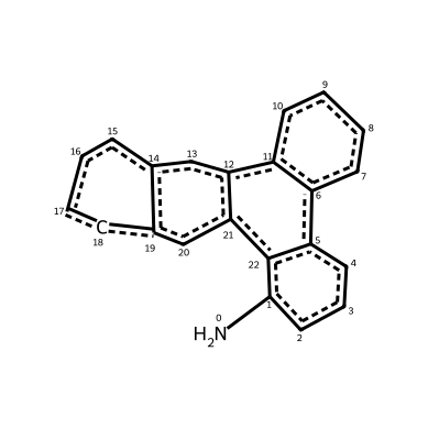 Nc1cccc2c3ccccc3c3cc4ccccc4cc3c12